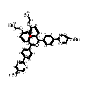 CCCCc1cnc(-c2ccc(C(OC(c3ccc(OCC(C)CC)cc3)c3ccc(-c4ncc(CCCC)cn4)cc3)c3ccc(OCC(C)CC)cc3)cc2)nc1